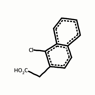 O=C(O)Cc1ccc2ccccc2c1Cl